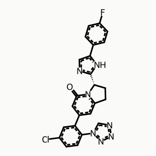 O=c1cc(-c2cc(Cl)ccc2-n2cnnn2)cc2n1[C@H](c1ncc(-c3ccc(F)cc3)[nH]1)CC2